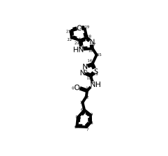 O=C(CCc1ccccc1)Nc1nnc(Cc2nc3ccccc3[nH]2)s1